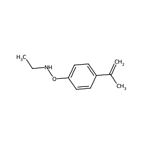 C=C(C)c1ccc(ONCC)cc1